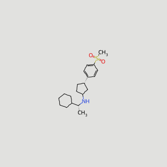 C[C@@H](NC1CC[C@H](c2ccc(S(C)(=O)=O)cc2)C1)C1CCCCC1